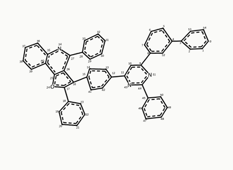 c1ccc(-c2cccc(-c3cc(-c4ccc(-c5c(-c6ccccc6)oc6c5c(-c5ccccc5)nc5ccccc56)cc4)nc(-c4ccccc4)n3)c2)cc1